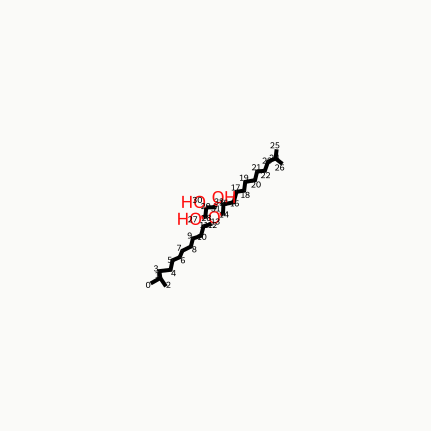 CC(C)CCCCCCCCCCOCCCCCCCCCCC(C)C.OCC(O)CO